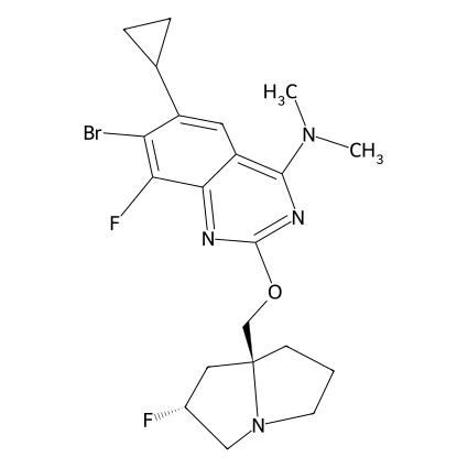 CN(C)c1nc(OC[C@@]23CCCN2C[C@H](F)C3)nc2c(F)c(Br)c(C3CC3)cc12